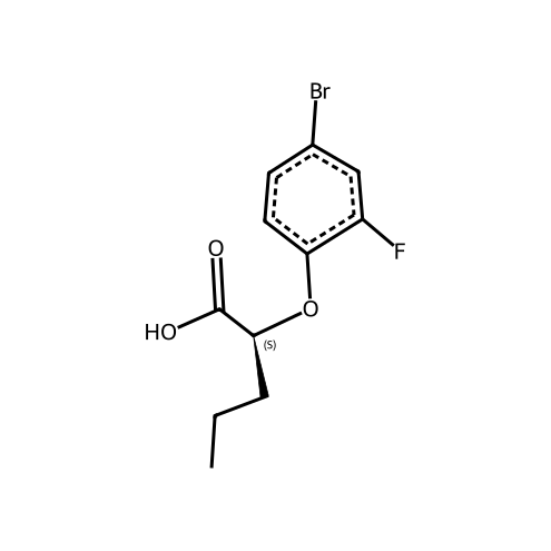 CCC[C@H](Oc1ccc(Br)cc1F)C(=O)O